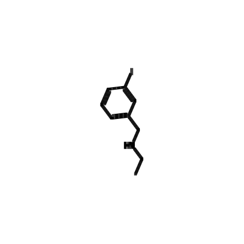 CCNCc1cccc(I)c1